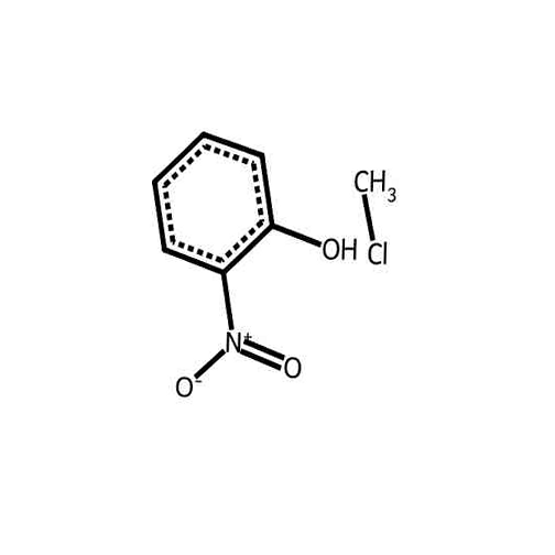 CCl.O=[N+]([O-])c1ccccc1O